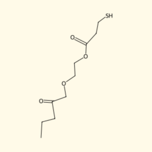 CCCC(=O)COCCOC(=O)CCS